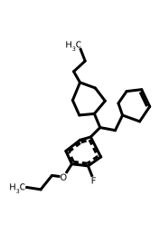 CCCOc1ccc(C(CC2CC=CCC2)C2CCC(CCC)CC2)cc1F